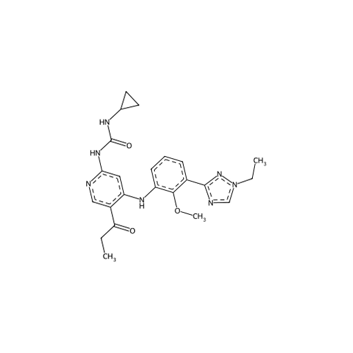 CCC(=O)c1cnc(NC(=O)NC2CC2)cc1Nc1cccc(-c2ncn(CC)n2)c1OC